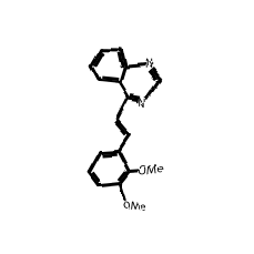 COc1cccc(/C=C/c2ncnc3ccccc23)c1OC